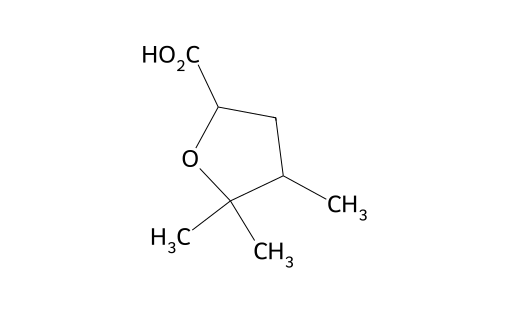 CC1CC(C(=O)O)OC1(C)C